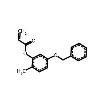 C=CC(=O)Oc1cc(OCc2ccccc2)ccc1C